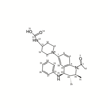 CC(=O)N1c2ccc(N3CCC(NC(=O)O)CC3)cc2[C@H](Nc2ccccc2)[C@@H](C)[C@@H]1C